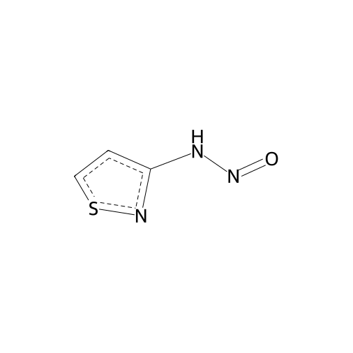 O=NNc1ccsn1